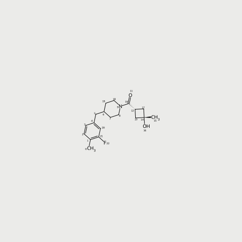 Cc1ccc(CC2CCN(C(=O)[C@H]3C[C@@](C)(O)C3)CC2)cc1F